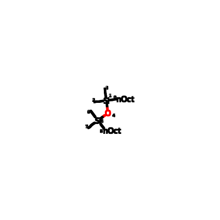 CCCCCCCC[Si](C)(C)O[Si](C)(C)CCCCCCCC